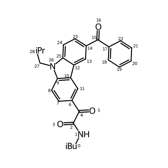 CCC(C)NC(=O)C(=O)c1ccc2c(c1)c1cc(C(=O)c3ccccc3)ccc1n2CC(C)C